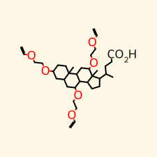 C=COCCOC1CCC2(C)C(C1)CC(OCCOC=C)C1C2CC(OCCOC=C)C2(C)C(C(C)CCC(=O)O)CCC12